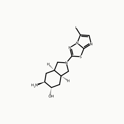 N[C@H]1C[C@H]2CN(c3nn4c(I)cnc4s3)C[C@H]2C[C@@H]1O